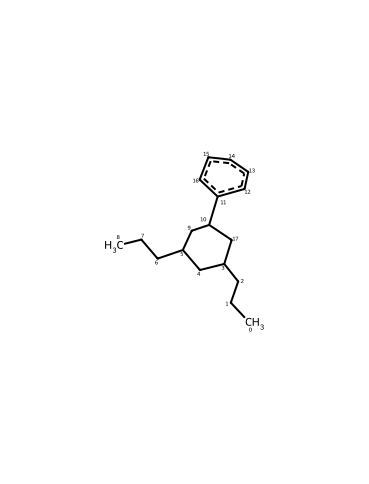 CCCC1CC(CCC)CC(c2ccccc2)C1